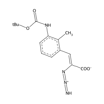 Cc1c(C=C(N=[N+]=N)C(=O)[O-])cccc1NC(=O)OC(C)(C)C